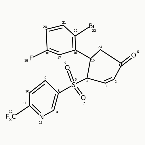 O=C1C=CC(S(=O)(=O)c2ccc(C(F)(F)F)nc2)C(c2cc(F)ccc2Br)C1